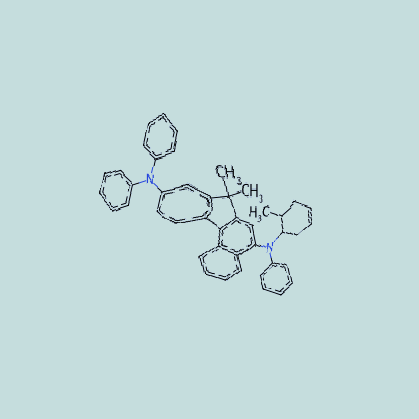 CC1CC=CCC1N(c1ccccc1)c1cc2c(c3ccccc13)-c1ccc(N(c3ccccc3)c3ccccc3)cc1C2(C)C